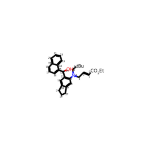 CCOC(=O)C=CCN(CC(C)(C)C)c1cc2c(cc1C(O)c1cccc3ccccc13)CCC2